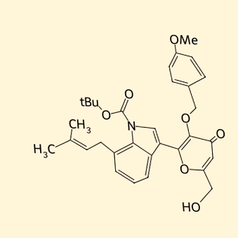 COc1ccc(COc2c(-c3cn(C(=O)OC(C)(C)C)c4c(CC=C(C)C)cccc34)oc(CO)cc2=O)cc1